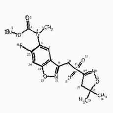 CN(C(=O)OC(C)(C)C)c1cc2c(CS(=O)(=O)C3=NOC(C)(C)C3)noc2cc1F